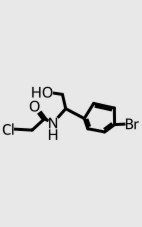 O=C(CCl)NC(CO)c1ccc(Br)cc1